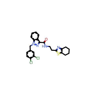 O=C(NCCc1nc2c(s1)CCCC2)c1nn(Cc2ccc(Cl)c(Cl)c2)c2ccccc12